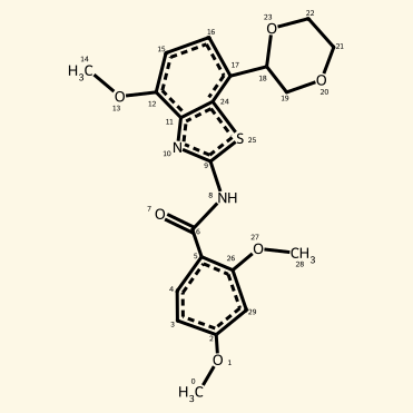 COc1ccc(C(=O)Nc2nc3c(OC)ccc(C4COCCO4)c3s2)c(OC)c1